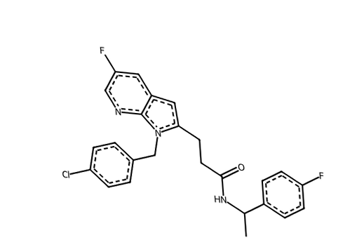 CC(NC(=O)CCc1cc2cc(F)cnc2n1Cc1ccc(Cl)cc1)c1ccc(F)cc1